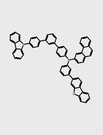 c1cc(-c2ccc(N(c3cccc(-c4ccc5c(c4)oc4ccccc45)c3)c3ccc4ccc5ccccc5c4c3)cc2)cc(-c2ccc(-n3c4ccccc4c4ccccc43)cc2)c1